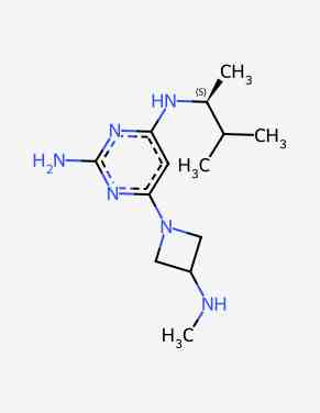 CNC1CN(c2cc(N[C@@H](C)C(C)C)nc(N)n2)C1